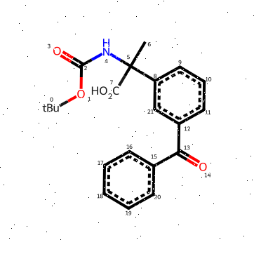 CC(C)(C)OC(=O)NC(C)(C(=O)O)c1cccc(C(=O)c2ccccc2)c1